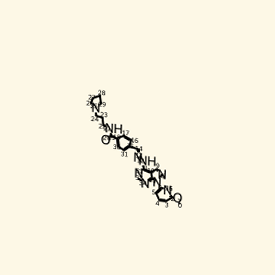 COc1cccc(-n2ncc3c(NN=Cc4ccc(C(=O)NCCCN5CCCC5)cc4)ncnc32)n1